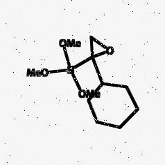 CO[Si](OC)(OC)C1(C2CCCCC2)CO1